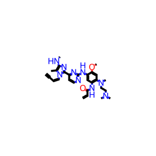 C#C/C=C\n1c(-c2ccnc(Nc3cc(NC(=O)C=C)c(N(C)CCN(C)C)cc3OC)n2)nc(NC)c1C